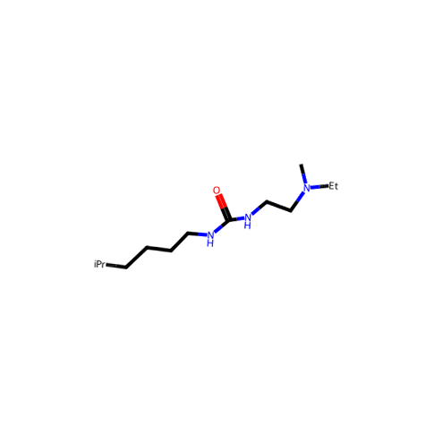 CCN(C)CCNC(=O)NCCCCC(C)C